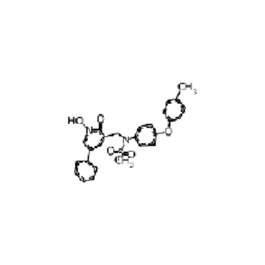 Cc1ccc(Oc2ccc(N(Cc3cc(-c4ccccc4)cn(O)c3=O)S(C)(=O)=O)cc2)cc1